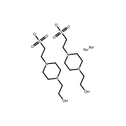 O=S(=O)([O-])CCN1CCN(CCO)CC1.O=S(=O)([O-])CCN1CCN(CCO)CC1.[Na+].[Na+]